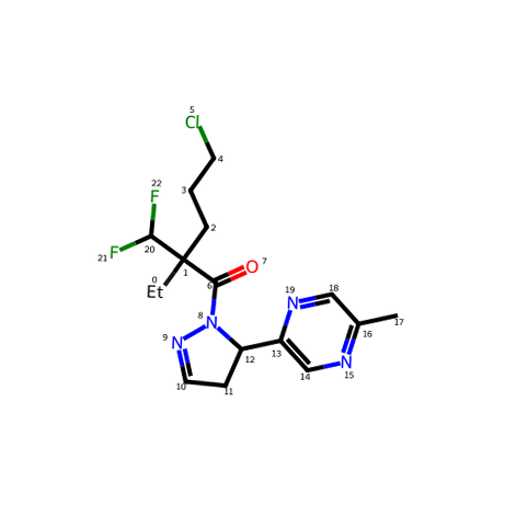 CCC(CCCCl)(C(=O)N1N=CCC1c1cnc(C)cn1)C(F)F